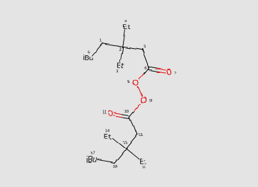 CCC(C)CC(CC)(CC)CC(=O)OOC(=O)CC(CC)(CC)CC(C)CC